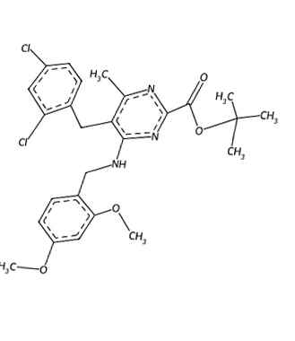 COc1ccc(CNc2nc(C(=O)OC(C)(C)C)nc(C)c2Cc2ccc(Cl)cc2Cl)c(OC)c1